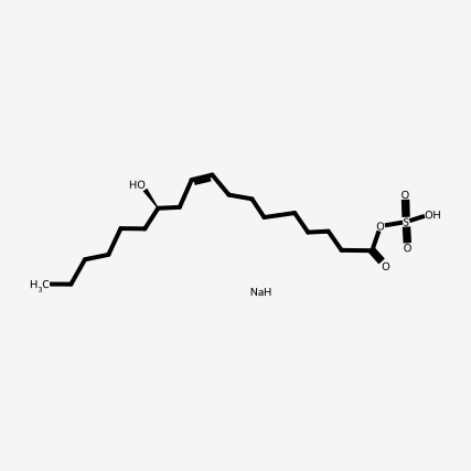 CCCCCC[C@@H](O)C/C=C\CCCCCCCC(=O)OS(=O)(=O)O.[NaH]